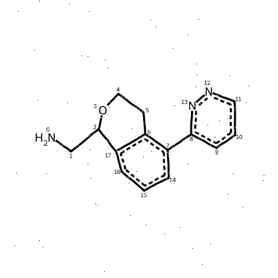 NCC1OCCc2c(-c3cccnn3)cccc21